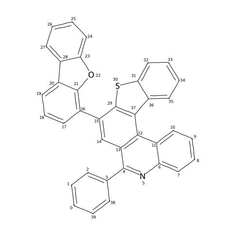 c1ccc(-c2nc3ccccc3c3c2cc(-c2cccc4c2oc2ccccc24)c2sc4ccccc4c23)cc1